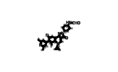 Cc1cc(-c2c(F)cc3c4nn([C@H]5CC[C@H](NC=O)CC5)c(=O)c-4cn(C4CC4)c3c2F)cc(C)n1